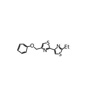 CCc1nc(-c2nc(COc3ccccc3)cs2)cs1